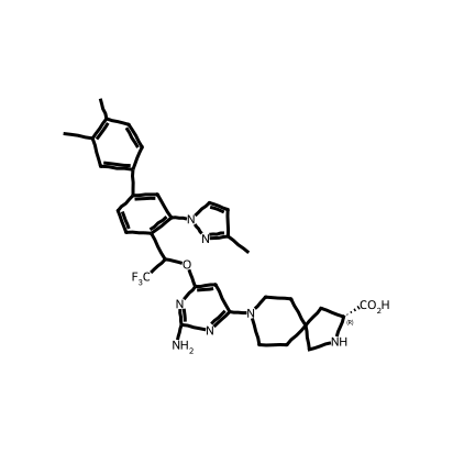 Cc1ccn(-c2cc(-c3ccc(C)c(C)c3)ccc2C(Oc2cc(N3CCC4(CC3)CN[C@@H](C(=O)O)C4)nc(N)n2)C(F)(F)F)n1